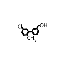 Cc1ccc(Cl)cc1-c1cccc(CO)c1